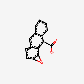 O=C(O)c1c2ccccc2cc2ccc3c(c12)O3